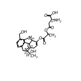 C[C@H](OC(=O)C[C@H](N)C(=O)O)C(=O)OC1=CC[C@@]2(O)[C@H]3Cc4ccc(CO)c5c4[C@@]2(CCN3C)[C@H]1O5